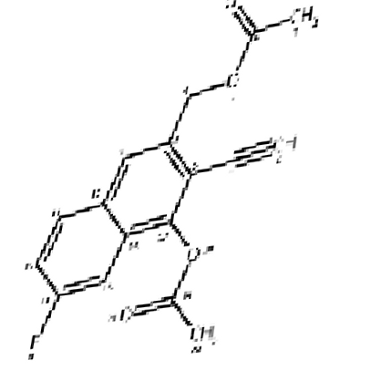 C#Cc1c(COC(C)=O)cc2ccc(F)cc2c1OC(C)=O